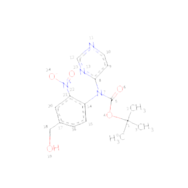 CC(C)(C)OC(=O)N(c1ccncn1)c1ccc(CO)cc1[N+](=O)[O-]